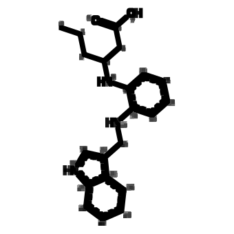 CCCC(CC(=O)O)Nc1ccccc1NCc1c[nH]c2ccccc12